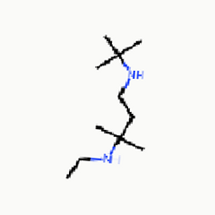 CCNC(C)(C)CCNC(C)(C)C